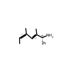 C/C=C(C)\C=C(/C)[C@H](N)C(C)C